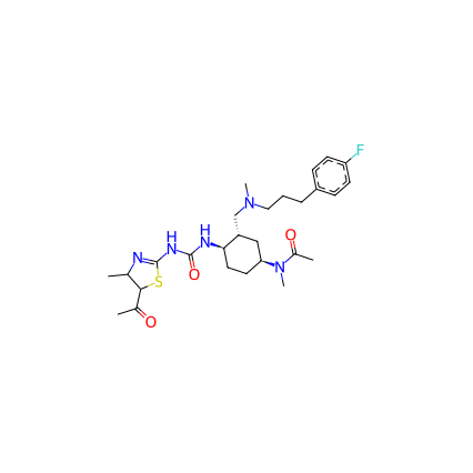 CC(=O)C1SC(NC(=O)N[C@@H]2CC[C@H](N(C)C(C)=O)C[C@H]2CN(C)CCCc2ccc(F)cc2)=NC1C